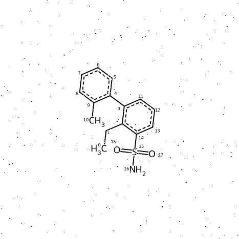 CCc1c(-c2ccccc2C)cccc1S(N)(=O)=O